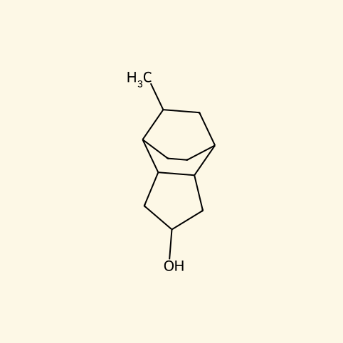 CC1CC2CCC1C1CC(O)CC21